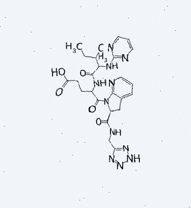 CCC(C)C(Nc1ncccn1)C(=O)NC(CCC(=O)O)C(=O)N1c2ncccc2C[C@H]1C(=O)NCc1nn[nH]n1